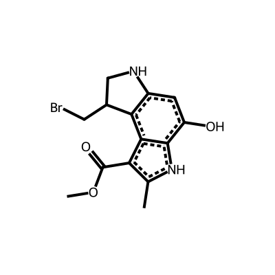 COC(=O)c1c(C)[nH]c2c(O)cc3c(c12)C(CBr)CN3